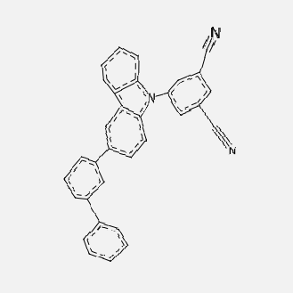 N#Cc1cc(C#N)cc(-n2c3ccccc3c3cc(-c4cccc(-c5ccccc5)c4)ccc32)c1